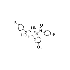 COc1ccc([C@@H]2[C@H](CC[C@H](O)c3ccc(F)cc3)NC(=O)N2c2ccc(F)cc2)c(O)c1